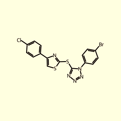 Clc1ccc(-c2csc(Sc3nnnn3-c3ccc(Br)cc3)n2)cc1